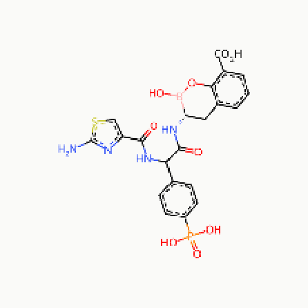 Nc1nc(C(=O)NC(C(=O)N[C@H]2Cc3cccc(C(=O)O)c3OB2O)c2ccc(P(=O)(O)O)cc2)cs1